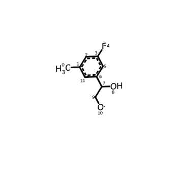 Cc1cc(F)cc(C(O)C[O])c1